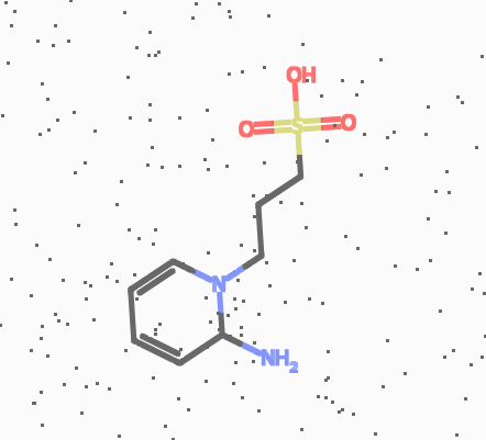 NC1C=CC=CN1CCCS(=O)(=O)O